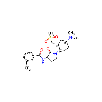 CC(C)N(C)[C@@H]1CC[C@H](N2CCC(NC(=O)c3cccc(C(F)(F)F)c3)C2=O)[C@H](CS(C)(=O)=O)C1